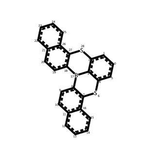 c1cc2c3c(c1)Sc1c(ccc4ccccc14)B3c1ccc3ccccc3c1S2